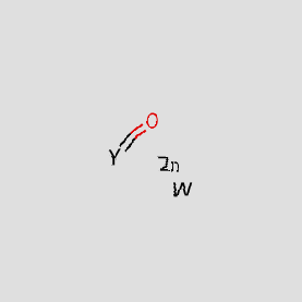 [O]=[Y].[W].[Zn]